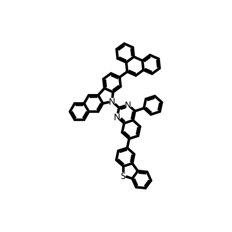 c1ccc(-c2nc(-n3c4cc(-c5cc6ccccc6c6ccccc56)ccc4c4cc5ccccc5cc43)nc3cc(-c4ccc5sc6ccccc6c5c4)ccc23)cc1